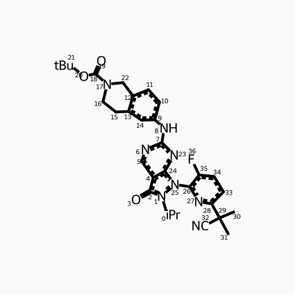 CC(C)n1c(=O)c2cnc(Nc3ccc4c(c3)CCN(C(=O)OC(C)(C)C)C4)nc2n1-c1nc(C(C)(C)C#N)ccc1F